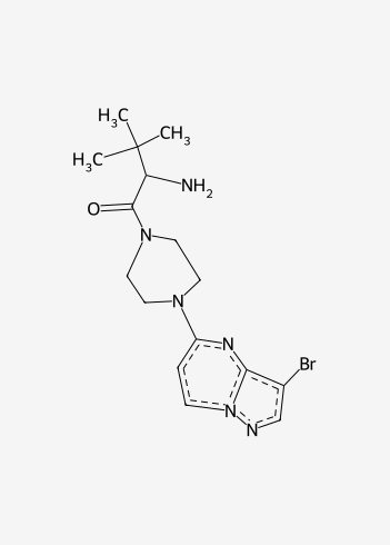 CC(C)(C)C(N)C(=O)N1CCN(c2ccn3ncc(Br)c3n2)CC1